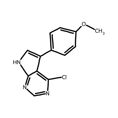 COc1ccc(-c2c[nH]c3ncnc(Cl)c23)cc1